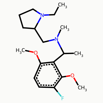 CCN1CCCC1CN(C)C(C)c1c(OC)ccc(F)c1OC